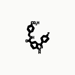 O=C(O)c1ccc(CNC(=O)c2ccc3[nH]nc(-c4ccc(F)cc4)c3c2)cc1